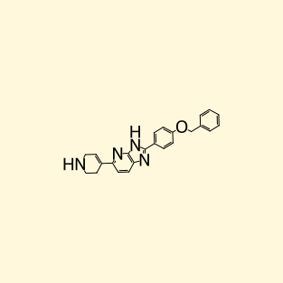 C1=C(c2ccc3nc(-c4ccc(OCc5ccccc5)cc4)[nH]c3n2)CCNC1